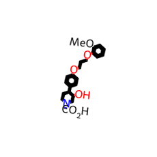 COc1ccccc1OCCCOc1ccc(C2CCN(C(=O)O)CC2O)cc1